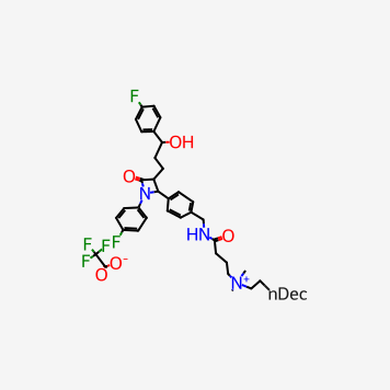 CCCCCCCCCCCC[N+](C)(C)CCCC(=O)NCc1ccc(C2C(CCC(O)c3ccc(F)cc3)C(=O)N2c2ccc(F)cc2)cc1.O=C([O-])C(F)(F)F